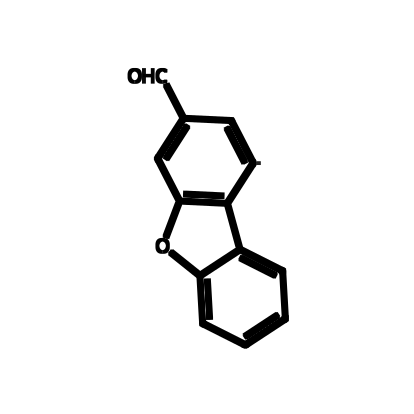 O=Cc1c[c]c2c(c1)oc1ccccc12